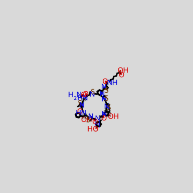 Cc1sc2nc1C(=O)N[C@@H]([C@H](O)c1ccccc1)c1nc(cs1)C(=O)N[C@@H](Cc1ccc(O)cc1)C(=O)N1C[C@H](O)[C@H](C)[C@H]1c1nc(cs1)-c1nc(cs1)-c1nc(-c3nc(C(=O)NCCCCCC(=O)O)cs3)ccc1-c1nc(cs1)C(=O)N[C@H]2CC(N)=O